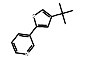 CC(C)(C)c1csc(-c2cccnc2)c1